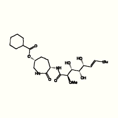 CO[C@@H](C(=O)N[C@H]1CC[C@@H](OC(=O)C2CCCCC2)CNC1=O)[C@H](O)[C@@H](O)[C@H](O)/C=C/C(C)(C)C